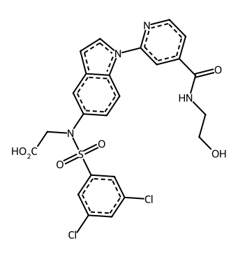 O=C(O)CN(c1ccc2c(ccn2-c2cc(C(=O)NCCO)ccn2)c1)S(=O)(=O)c1cc(Cl)cc(Cl)c1